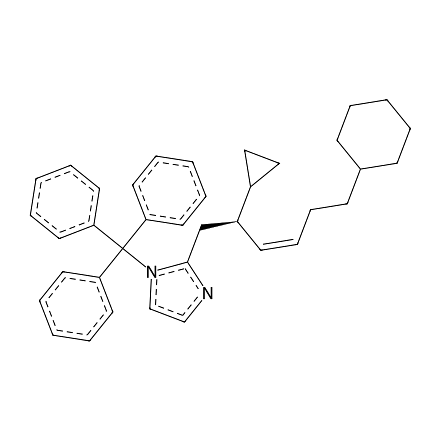 C(=C/[C@@H](Cc1nccn1C(c1ccccc1)(c1ccccc1)c1ccccc1)C1CC1)/CCC1CCCCC1